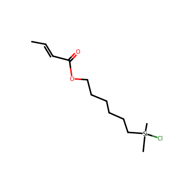 CC=CC(=O)OCCCCCC[Si](C)(C)Cl